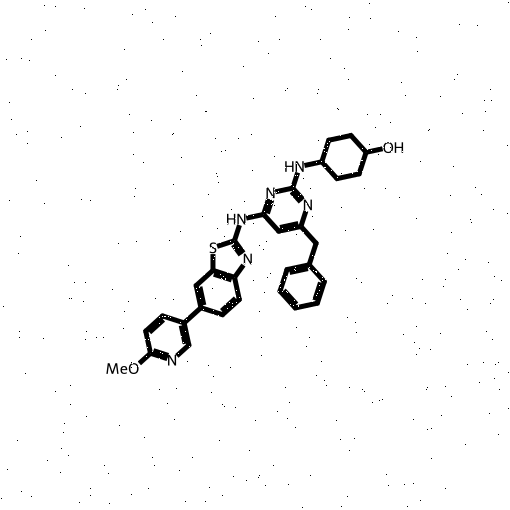 COc1ccc(-c2ccc3nc(Nc4cc(Cc5ccccc5)nc(NC5CCC(O)CC5)n4)sc3c2)cn1